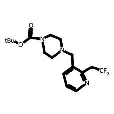 CC(C)(C)OC(=O)N1CCN(Cc2cccnc2CC(F)(F)F)CC1